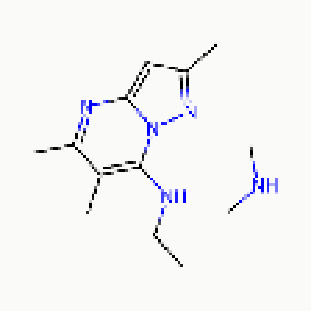 CCNc1c(C)c(C)nc2cc(C)nn12.CNC